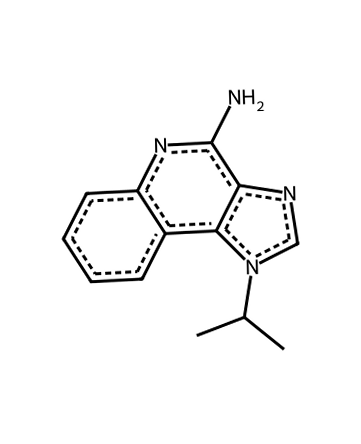 CC(C)n1cnc2c(N)nc3ccccc3c21